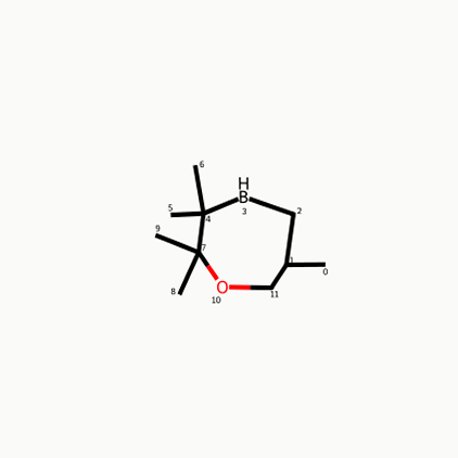 CC1CBC(C)(C)C(C)(C)OC1